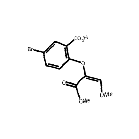 CO/C=C(/Oc1ccc(Br)cc1C(=O)O)C(=O)OC